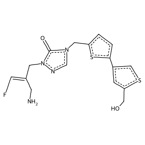 NC/C(=C\F)Cn1ncn(Cc2ccc(-c3csc(CO)c3)s2)c1=O